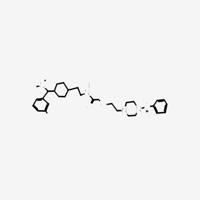 CN(C)C(c1cccc(F)c1)C1CCC(CCNC(=O)COCCN2CCN(S(=O)(=O)c3ccccc3)CC2)CC1